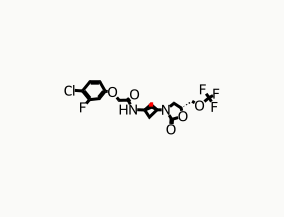 O=C(COc1ccc(Cl)c(F)c1)NC12CC(N3C[C@H](COC(F)(F)F)OC3=O)(C1)C2